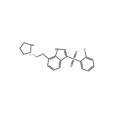 O=S(=O)(c1ccccc1F)c1c[nH]c2c(OC[C@@H]3CCCN3)cccc12